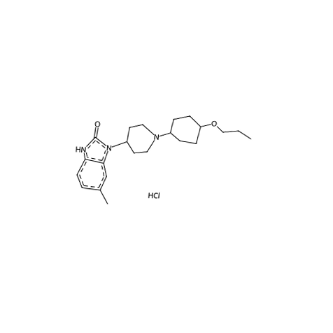 CCCOC1CCC(N2CCC(n3c(=O)[nH]c4ccc(C)cc43)CC2)CC1.Cl